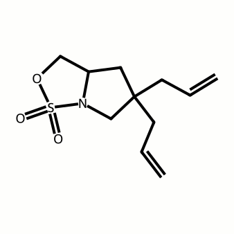 C=CCC1(CC=C)CC2COS(=O)(=O)N2C1